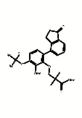 [2H]C([2H])([2H])Oc1ccc(-c2cccc3c2CCC3=O)c(OCC(C)(C)C(=O)OC)c1OC